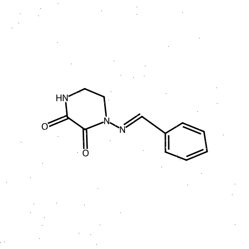 O=C1NCCN(N=Cc2ccccc2)C1=O